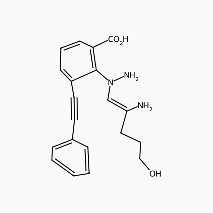 N/C(=C\N(N)c1c(C#Cc2ccccc2)cccc1C(=O)O)CCCO